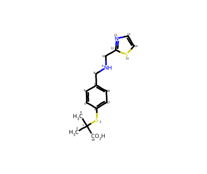 CC(C)(Sc1ccc(CNCc2nccs2)cc1)C(=O)O